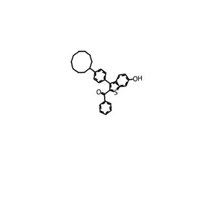 O=C(c1ccccc1)c1sc2cc(O)ccc2c1-c1ccc(C2CCCCCCCCC2)cc1